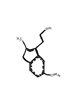 COc1ccc2c(c1)C(CCSC)=C(C)C2